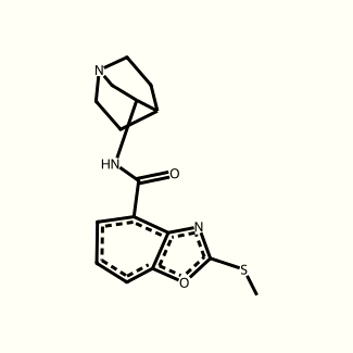 CSc1nc2c(C(=O)NC3CN4CCC3CC4)cccc2o1